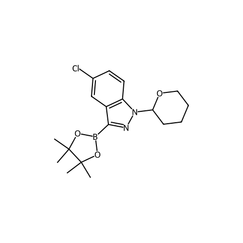 CC1(C)OB(c2nn(C3CCCCO3)c3ccc(Cl)cc23)OC1(C)C